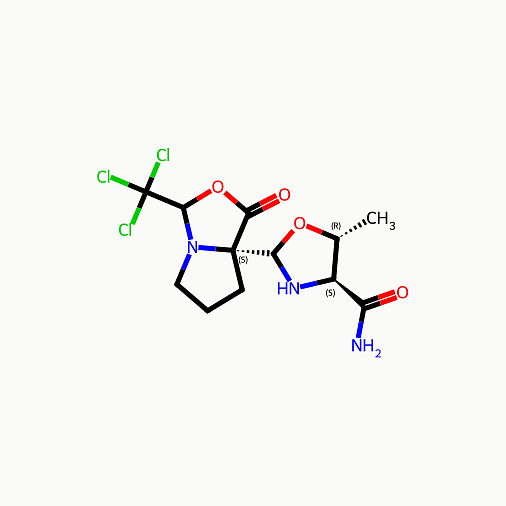 C[C@H]1OC([C@]23CCCN2C(C(Cl)(Cl)Cl)OC3=O)N[C@@H]1C(N)=O